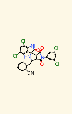 N#Cc1ccccc1CC1NC2(C(=O)Nc3c(Cl)cc(Cl)cc32)C2C(=O)N(c3cc(Cl)cc(Cl)c3)C(=O)C12